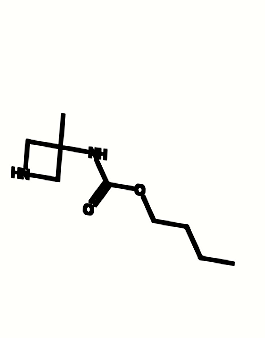 CCCCOC(=O)NC1(C)CNC1